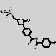 CS(=O)(=O)OCC1CN(c2ccc(C(=N)NC(=O)c3ccc(F)cc3)cc2)C(=O)O1